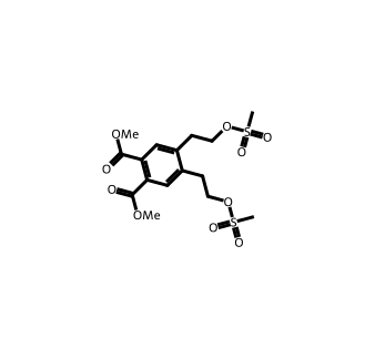 COC(=O)c1cc(CCOS(C)(=O)=O)c(CCOS(C)(=O)=O)cc1C(=O)OC